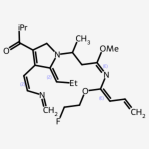 C=C/C=C(\N=C(/CC(C)N1CC(C(=O)C(C)C)=C(/C=C\N=C)/C1=C/CC)OC)OCCF